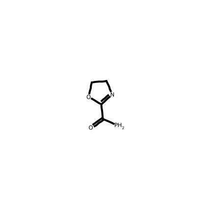 O=C(P)C1=NCCO1